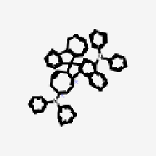 C1#CC2/C(=C\C=C(\N(c3ccccc3)c3ccccc3)C1)c1c(cc(N(c3c#cccc3)c3ccccc3)c3ccccc13)C21C2=C(CC=CC=C2)c2ccccc21